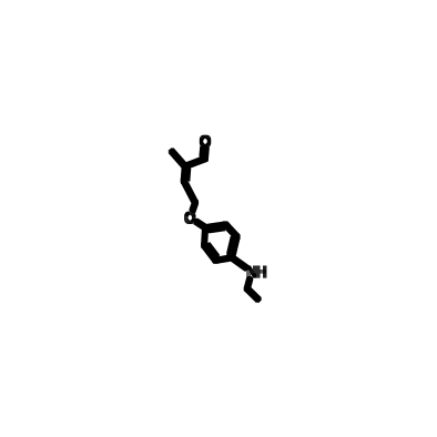 CCNc1ccc(OCC=C(C)C=O)cc1